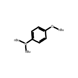 CCCCOc1ccc(N(CCCC)CCCC)cc1